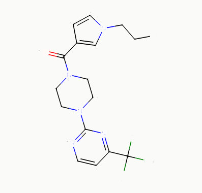 CCCn1ccc(C(=O)N2CCN(c3nccc(C(F)(F)F)n3)CC2)c1